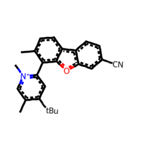 Cc1c[n+](C)c(-c2c(C)ccc3c2oc2cc(C#N)ccc23)cc1C(C)(C)C